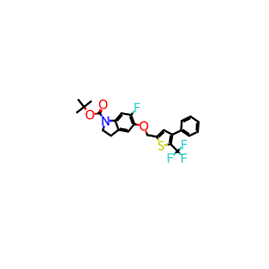 CC(C)(C)OC(=O)N1CCc2cc(OCc3cc(-c4ccccc4)c(C(F)(F)F)s3)c(F)cc21